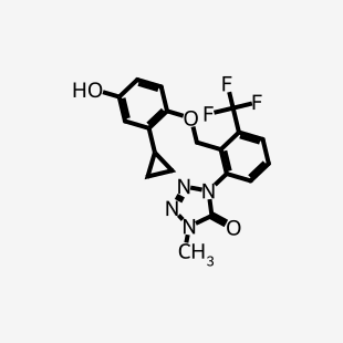 Cn1nnn(-c2cccc(C(F)(F)F)c2COc2ccc(O)cc2C2CC2)c1=O